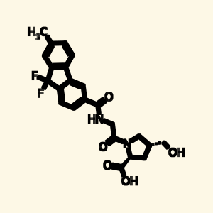 Cc1ccc2c(c1)C(F)(F)c1ccc(C(=O)NCC(=O)N3C[C@H](CO)C[C@H]3C(=O)O)cc1-2